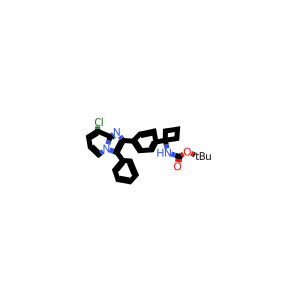 CC(C)(C)OC(=O)NC1(c2ccc(-c3nc4c(Cl)cccn4c3-c3ccccc3)cc2)CCC1